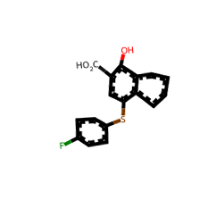 O=C(O)c1cc(Sc2ccc(F)cc2)c2ccccc2c1O